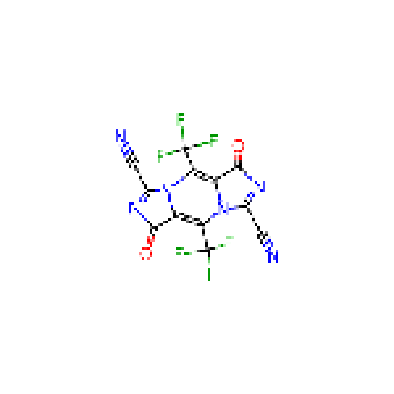 N#Cc1nc(=O)c2c(C(F)(F)F)n3c(C#N)nc(=O)c3c(C(F)(F)F)n12